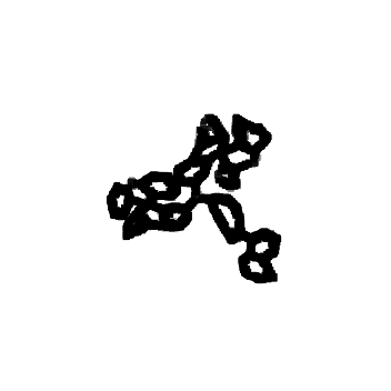 c1ccc2c(c1)Oc1ccccc1C21c2ccccc2-c2ccc(N(c3ccc(-c4cccc5ccccc45)cc3)c3ccc4c(c3)C3(c5ccccc5Sc5ccccc53)c3ccccc3-4)cc21